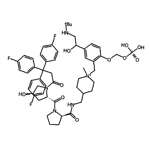 CC(C)(C)NCC(O)c1ccc(OCOP(=O)(O)O)c(C[N+]2(C)CCC(CNC(=O)[C@H]3CCCN3C(=O)[C@@H]3C[C@@H](O)CN3C(=O)CC(c3ccc(F)cc3)(c3ccc(F)cc3)c3ccc(F)cc3)CC2)c1